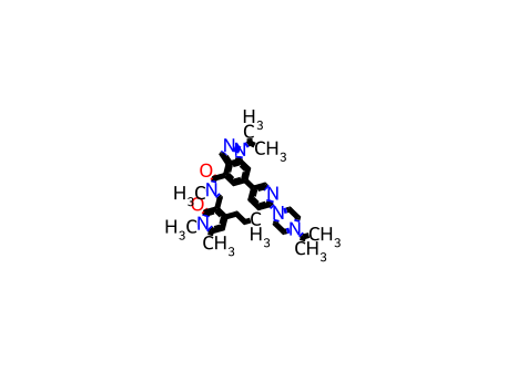 CCCc1cc(C)n(C)c(=O)c1CN(C)C(=O)c1cc(-c2ccc(N3CCN(C(C)C)CC3)nc2)cc2c1cnn2C(C)C